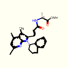 COC(=O)[C@@H](C)NC(=O)C=Cc1c(C#N)c2c(C)cc(C)nc2n1[C@H]1CCCc2ccccc21